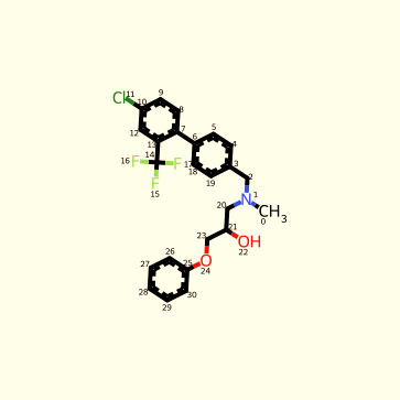 CN(Cc1ccc(-c2ccc(Cl)cc2C(F)(F)F)cc1)CC(O)COc1ccccc1